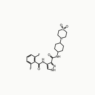 O=C(NC1CCC(N2CCS(=O)(=O)CC2)CC1)c1n[nH]cc1NC(=O)c1c(F)cccc1F